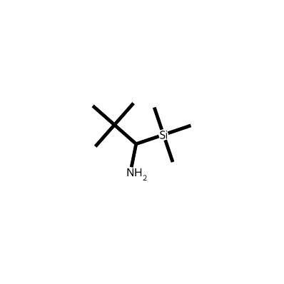 CC(C)(C)C(N)[Si](C)(C)C